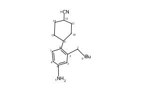 CCC(C)Cc1cc(N)ccc1C1CCC(C#N)CC1